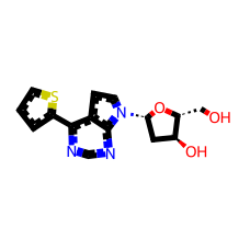 OC[C@H]1O[C@@H](n2ccc3c(-c4cccs4)ncnc32)C[C@@H]1O